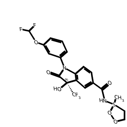 CS1(NC(=O)c2ccc3c(c2)[C@](O)(C(F)(F)F)C(=O)N3c2cccc(OC(F)F)c2)CCOO1